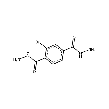 NNC(=O)c1ccc(C(=O)NN)c(Br)c1